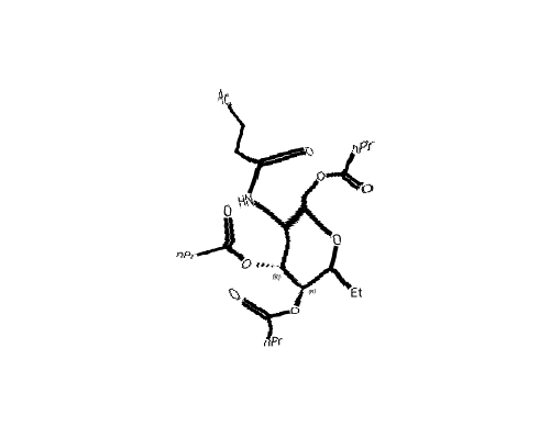 CCCC(=O)OC1OC(CC)[C@@H](OC(=O)CCC)[C@H](OC(=O)CCC)C1NC(=O)CCC(C)=O